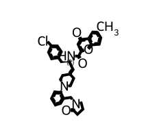 Cc1ccc2oc(C(=O)N[C@@H](C=C3CCN(c4ccccc4CN4CCCC4=O)CC3)Cc3ccc(Cl)cc3)cc(=O)c2c1